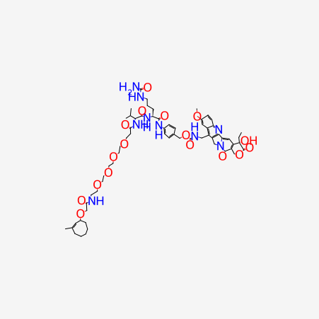 CC[C@@]1(O)C(=O)OCc2c1cc1n(c2=O)Cc2c-1nc1ccc(OC)cc1c2CNC(=O)OCc1ccc(NC(=O)[C@H](CCCNC(N)=O)NC(=O)[C@@H](NC(=O)CCOCCOCCOCCOCCNC(=O)COC2/C=C(/C)CCCCC2)C(C)C)cc1